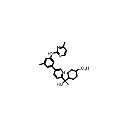 Cc1cc(Nc2nccc(C)n2)cc(-c2ccc([C@@](C)(O)C3CCC(C(=O)O)CC3)nc2)c1